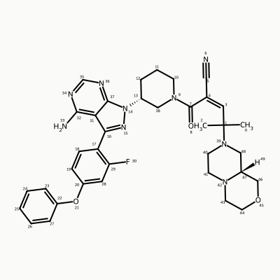 CC(C)(/C=C(/C#N)C(=O)N1CCC[C@@H](n2nc(-c3ccc(Oc4ccccc4)cc3F)c3c(N)ncnc32)C1)N1CCN2CCOC[C@H]2C1